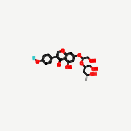 C[C@@H](O)CC(CO)OC(CO)Oc1cc(O)c2c(=O)c(-c3ccc(OF)cc3)coc2c1